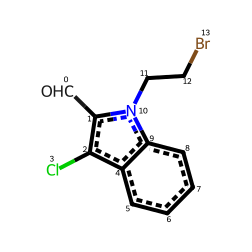 O=Cc1c(Cl)c2ccccc2n1CCBr